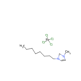 CCCCCCCCN1C=CN(C)C1.[Cl][Fe]([Cl])([Cl])[Cl]